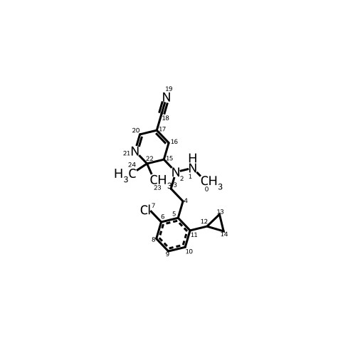 CNN(CCc1c(Cl)cccc1C1CC1)C1C=C(C#N)C=NC1(C)C